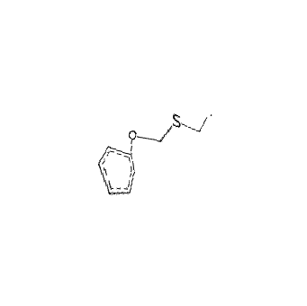 [CH2]CSCOc1ccccc1